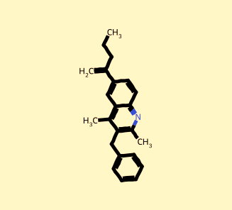 C=C(CCC)c1ccc2nc(C)c(Cc3ccccc3)c(C)c2c1